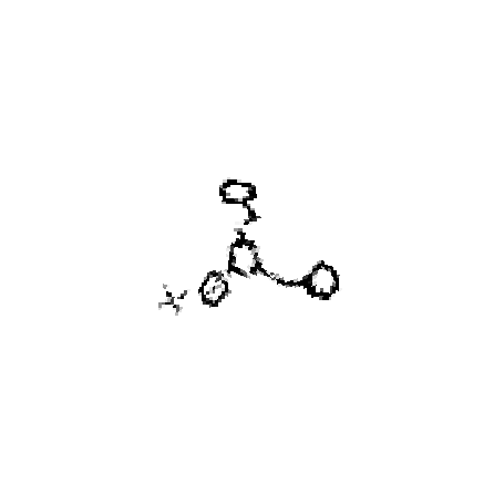 F[B-](F)(F)F.c1ccc(COc2nc(OCc3ccccc3)nc([N+]34CCC(CC3)CC4)n2)cc1